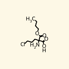 CCCCOC(=O)C(N)(CCCCl)C(=O)O